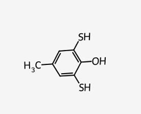 Cc1cc(S)c(O)c(S)c1